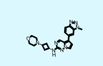 Cn1nnc2ccc(-c3ccn4nc(N[C@H]5C[C@@H](N6CCOCC6)C5)ncc34)cc21